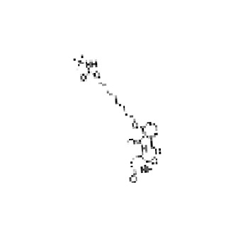 CC(C)(C)NC(=O)OCCCCCCCCOc1cccc2c1C(=O)N(C1CCC(=O)NC1=O)C2=O